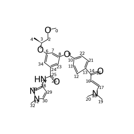 COC[C@H](C)Oc1cc(Oc2ccc(C(=O)C=CN(C)C)cc2)cc(C(=O)Nc2ccn(C)n2)c1